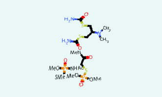 CN(C)C(CSC(N)=O)CSC(N)=O.CNC(=O)CSP(=O)(OC)OC.COP(=O)(NC(C)=O)SC